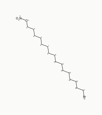 O=[N+]([O-])OCCCCCCCCCCCCCCCCBr